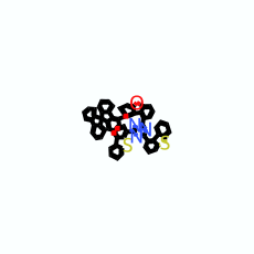 c1ccc2c(c1)-c1ccccc1C21c2ccccc2-c2c(-c3ccc4oc5cccc(-c6nc(-c7cccc8c7sc7ccccc78)nc(-c7cccc8sc9ccccc9c78)n6)c5c4c3)cccc21